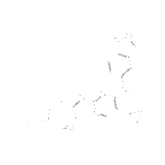 CC1CC/C(=N/c2ncc(C3CC3)c(Nc3ccc4[nH]ncc4c3)n2)CNC1